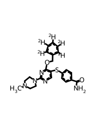 [2H]c1c([2H])c([2H])c(COc2nc(N3CCN(C)CC3)ncc2Sc2ccc(C(N)=O)cc2)c([2H])c1[2H]